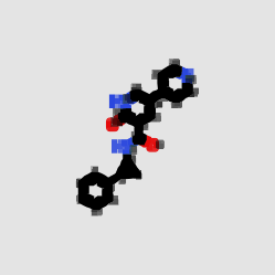 O=C(NC1C[C@H]1c1ccccc1)c1cc(-c2ccncc2)c[nH]c1=O